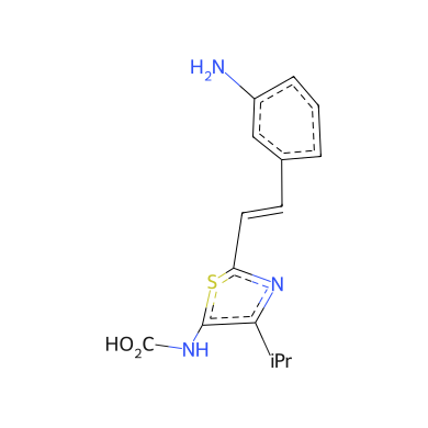 CC(C)c1nc(C=Cc2cccc(N)c2)sc1NC(=O)O